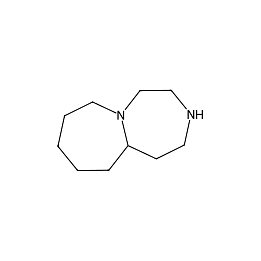 C1CCC2CCNCCN2CC1